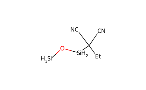 CCC(C#N)(C#N)[SiH2]O[SiH3]